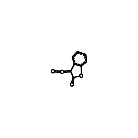 O=C=C1C(=O)Oc2ccccc21